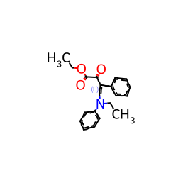 CCOC(=O)C(=O)/C(=C/N(CC)c1ccccc1)c1ccccc1